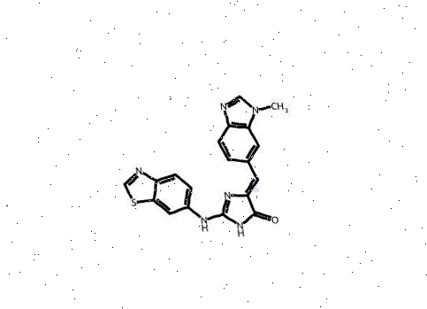 Cn1cnc2ccc(/C=C3\N=C(Nc4ccc5ncsc5c4)NC3=O)cc21